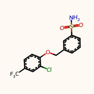 NS(=O)(=O)c1cccc(COc2ccc(C(F)(F)F)cc2Cl)c1